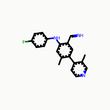 Cc1cnccc1-c1cc(C=N)c(Nc2ccc(F)cc2)cc1C